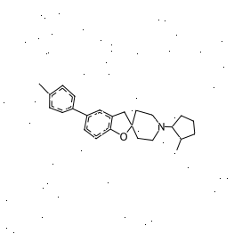 Cc1ccc(-c2ccc3c(c2)CC2(CCN(C4CCCC4C)CC2)O3)cc1